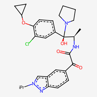 CC(C)n1cc2cc(C(=O)C(=O)N[C@H](C)[C@](O)(c3ccc(OC4CC4)c(Cl)c3)N3CCCC3)ccc2n1